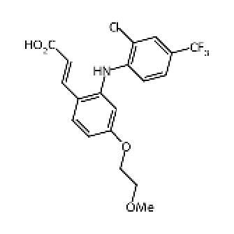 COCCOc1ccc(C=CC(=O)O)c(Nc2ccc(C(F)(F)F)cc2Cl)c1